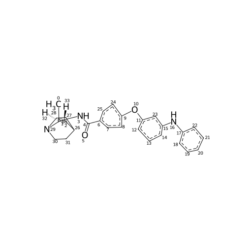 C[C@H]1[C@H](NC(=O)c2ccc(Oc3cccc(Nc4ccccc4)c3)cc2)C2CCN1CC2